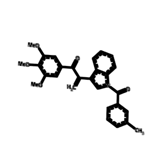 C=C(C(=O)c1cc(OC)c(OC)c(OC)c1)c1cn(C(=O)c2cccc(C)c2)c2ccccc12